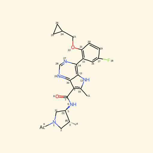 CC(=O)N1C[C@@H](C)[C@H](NC(=O)c2c(C)[nH]c3c(-c4cc(F)ccc4OCC4CC4)ncnc23)C1